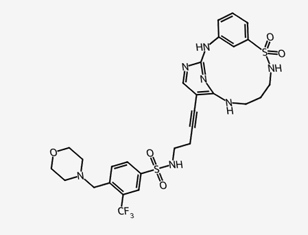 O=S(=O)(NCCC#Cc1cnc2nc1NCCCNS(=O)(=O)c1cccc(c1)N2)c1ccc(CN2CCOCC2)c(C(F)(F)F)c1